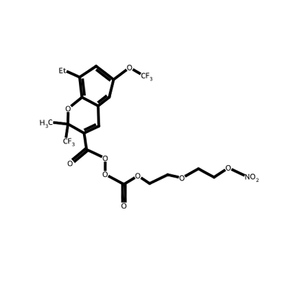 CCc1cc(OC(F)(F)F)cc2c1OC(C)(C(F)(F)F)C(C(=O)OOC(=O)OCCOCCO[N+](=O)[O-])=C2